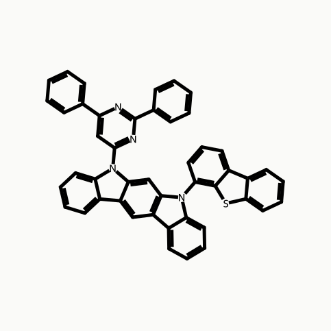 c1ccc(-c2cc(-n3c4ccccc4c4cc5c6ccccc6n(-c6cccc7c6sc6ccccc67)c5cc43)nc(-c3ccccc3)n2)cc1